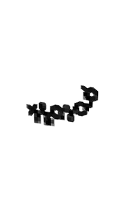 Cc1cccc(CN2CCN(C(=O)Oc3ccc(N(S)C(=O)NC(C)(C)C)cn3)CC2)n1